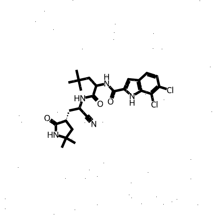 CC(C)(C)CC(NC(=O)c1cc2ccc(Cl)c(Cl)c2[nH]1)C(=O)NC(C#N)C[C@@H]1CC(C)(C)NC1=O